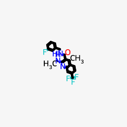 CNc1nc2cc(C(F)(F)F)ccc2c(C)c1C(=O)NCc1cccc(F)c1